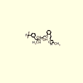 Cc1cc(C=Cc2ccccc2OCC(O)CNC(C)(C)Cc2cccc(C(F)(F)F)c2)on1